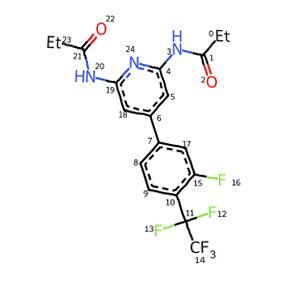 CCC(=O)Nc1cc(-c2ccc(C(F)(F)C(F)(F)F)c(F)c2)cc(NC(=O)CC)n1